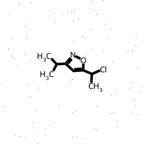 CC(C)c1cc(C(C)Cl)on1